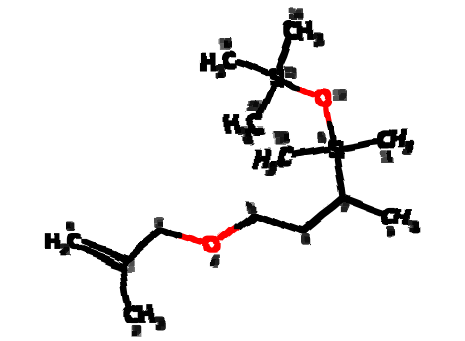 C=C(C)COCCC(C)[Si](C)(C)O[Si](C)(C)C